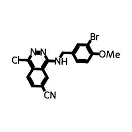 COc1ccc(CNc2nnc(Cl)c3ccc(C#N)cc23)cc1Br